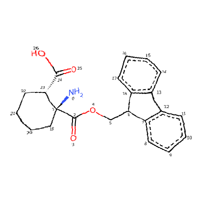 N[C@@]1(C(=O)OCC2c3ccccc3-c3ccccc32)CCCC[C@@H]1C(=O)O